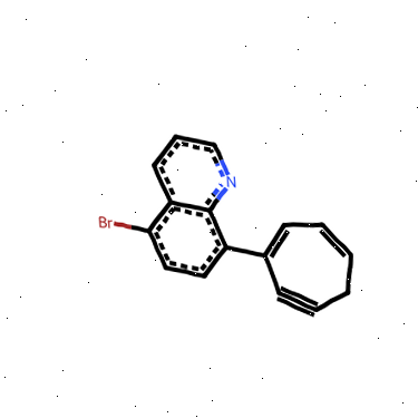 Brc1ccc(C2=CC=CCC#C2)c2ncccc12